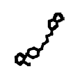 Clc1ccccc1N1CCN(CCCCOc2ccc3ccnn3c2)CC1